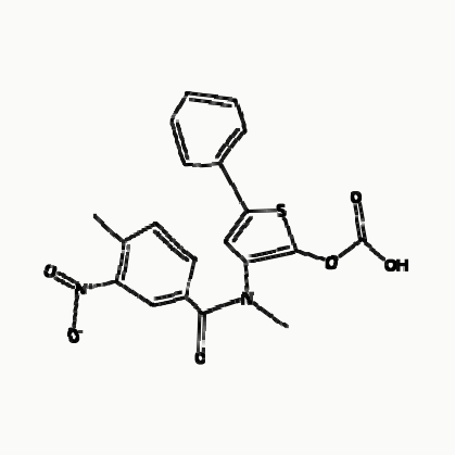 Cc1ccc(C(=O)N(C)c2cc(-c3ccccc3)sc2OC(=O)O)cc1[N+](=O)[O-]